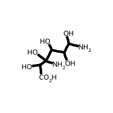 NC(O)C(O)C(O)C(N)(O)C(O)C(=O)O